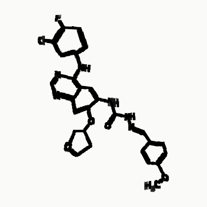 COc1ccc(/C=N/NC(=O)Nc2cc3c(Nc4ccc(F)c(Cl)c4)ncnc3cc2OC2CCOC2)cc1